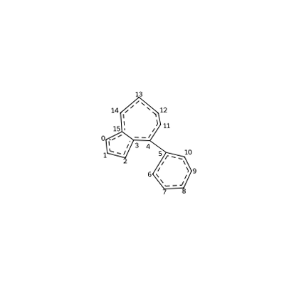 [c]1ccc2c(-c3ccccc3)ccccc1-2